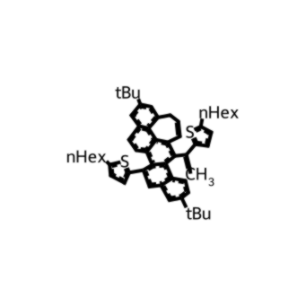 C/C=C(/c1ccc(CCCCCC)s1)c1c2c3c(ccc4cc(C(C)(C)C)cc(c43)CC=C2)c2c(-c3ccc(CCCCCC)s3)cc3cc(C(C)(C)C)ccc3c12